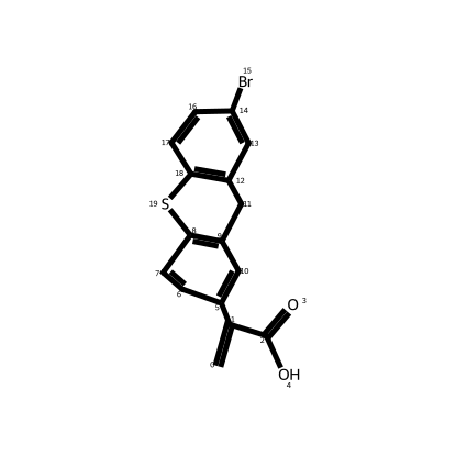 C=C(C(=O)O)c1ccc2c(c1)Cc1cc(Br)ccc1S2